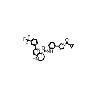 O=C(C1CC1)N1CCC(c2cccc(NC(=O)N3CCCNc4ccc(-c5cccc(C(F)(F)F)c5)nc43)c2)C1